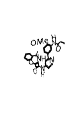 C=CC(=O)Nc1cc(-c2cc(Nc3c(N[C@H](C)c4ccccc4)c(=O)c3=O)ccn2)ccc1OC